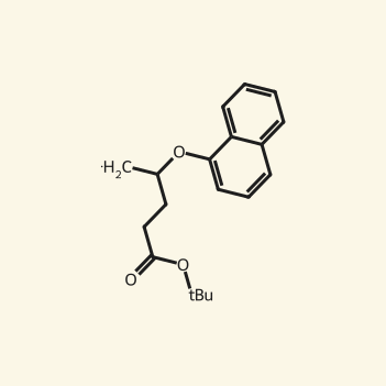 [CH2]C(CCC(=O)OC(C)(C)C)Oc1cccc2ccccc12